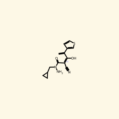 C=C(/C(O)=C(/C#N)C(=O)N(N)CC1CC1)c1ccsc1